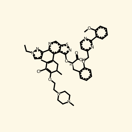 CCn1ccc(-c2ncc3snc(O[C@H](Cc4ccccc4OCc4ccnc(-c5ccccc5OC)n4)C(=O)O)c3c2C2=C(C)C(Cl)=C(OCCN3CCN(C)CC3)C(C)C2)n1